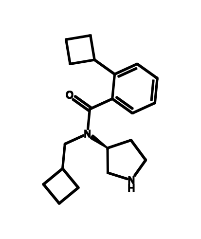 O=C(c1ccccc1C1CCC1)N(CC1CCC1)[C@H]1CCNC1